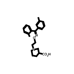 Cc1cccc(C(=NOCCN2CCCC(C(=O)O)C2)c2ccccc2C)c1